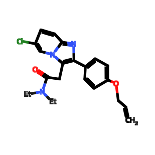 C=CCOc1ccc(-c2nc3ccc(Cl)cn3c2CC(=O)N(CC)CC)cc1